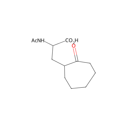 CC(=O)NC(CC1CCCCCC1=O)C(=O)O